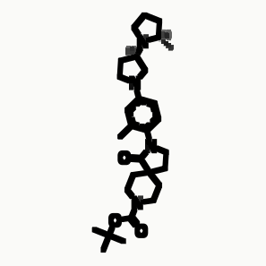 Cc1cc(N2CC[C@@H](N3CCC[C@@H]3C)C2)ccc1N1CCC2(CCN(C(=O)OC(C)(C)C)CC2)C1=O